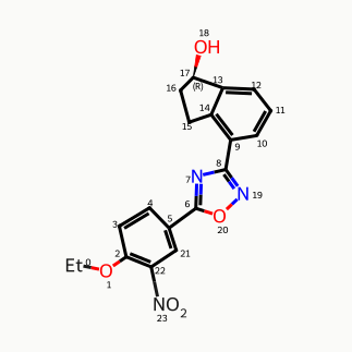 CCOc1ccc(-c2nc(-c3cccc4c3CC[C@H]4O)no2)cc1[N+](=O)[O-]